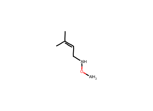 CC(C)=C[CH2][AlH][O][AlH2]